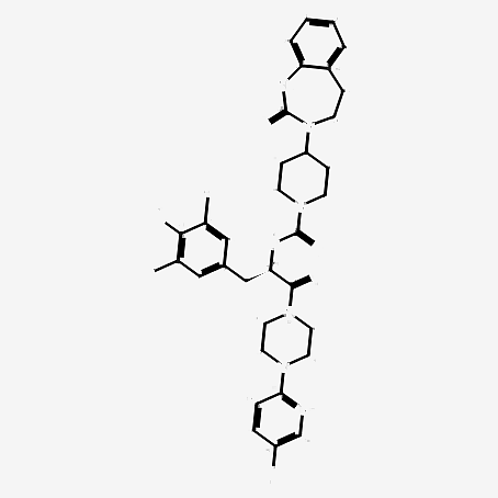 Cc1cc(C[C@@H](OC(=O)N2CCC(N3CCc4ccccc4NC3=O)CC2)C(=O)N2CCN(c3ccc(C(=O)O)cn3)CC2)cc(C)c1O